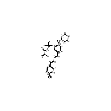 C=C(C)C(=O)OC(C)(C)C.Oc1ccc(C=CC=Cc2ccc(OC3CCCCO3)cc2)cc1